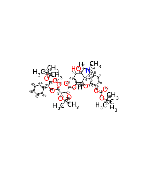 CN1CC[C@]23c4c5ccc(OC(=O)OC(C)(C)C)c4O[C@H]2C(OC(=O)[C@@H]2OC(C)(C)O[C@H]2C(=O)O[C@H](C(=O)OC(C)(C)C)c2ccccc2)=CC[C@@]3(O)[C@H]1C5